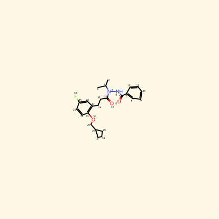 CC(C)N(NC(=O)c1ccccc1)C(=O)CCc1cc(F)ccc1OCC1CCC1